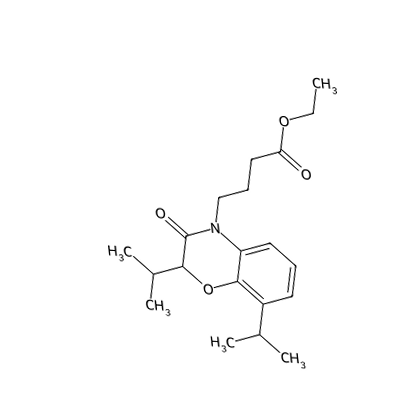 CCOC(=O)CCCN1C(=O)C(C(C)C)Oc2c(C(C)C)cccc21